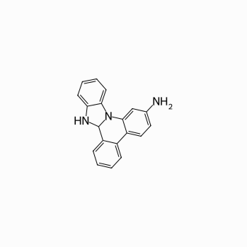 Nc1ccc2c(c1)N1c3ccccc3NC1c1ccccc1-2